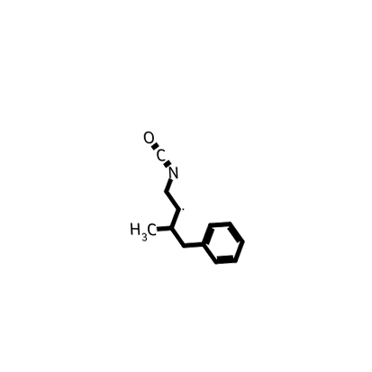 CC([CH]CN=C=O)Cc1ccccc1